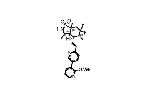 COc1ncccc1-c1ccc(C=C[C@@H]2[C@@H]3[C@@H](C)NS(=O)(=O)[C@]3(C)CC(F)(F)[C@H]2C)nc1